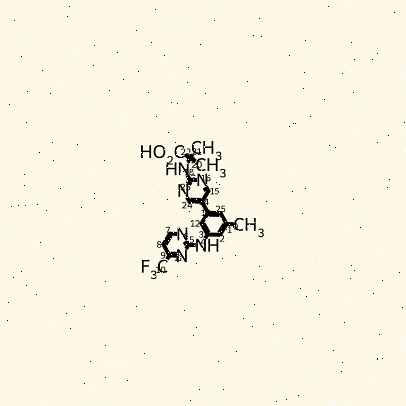 Cc1cc(Nc2nccc(C(F)(F)F)n2)cc(-c2cnc(NC(C)(C)C(=O)O)nc2)c1